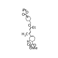 CC/C(=C\C=C(/C)C1=CCCC(C(=O)N(C)OC)CC1)OCC1CCN(C(=O)OC(C)C)CC1